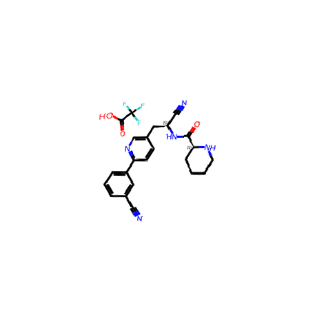 N#Cc1cccc(-c2ccc(C[C@@H](C#N)NC(=O)[C@@H]3CCCCN3)cn2)c1.O=C(O)C(F)(F)F